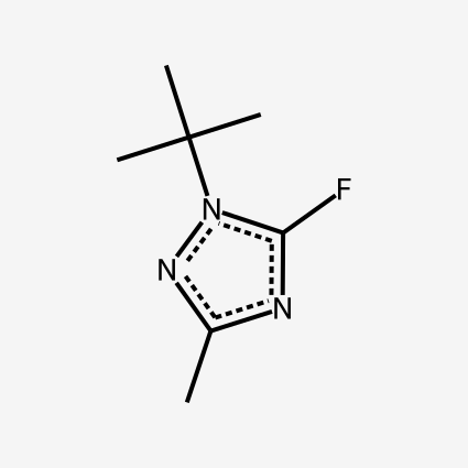 Cc1nc(F)n(C(C)(C)C)n1